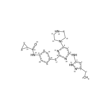 CCc1cc(Nc2cc(N3CCNCC3)nc(Sc3ccc(NC(=O)C4CC4)cc3)n2)[nH]n1